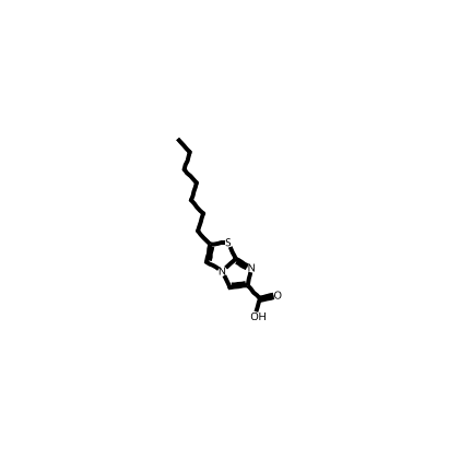 CCCCCCCc1cn2cc(C(=O)O)nc2s1